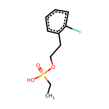 CCP(=O)(O)OCCc1ccccc1F